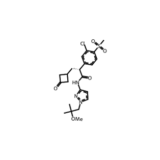 COC(C)(C)Cn1ccc(NC(=O)[C@H](CC2CC(=O)C2)c2ccc(S(C)(=O)=O)c(Cl)c2)n1